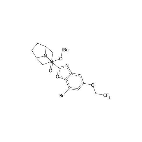 CC(C)(C)OC(=O)N1C2CCC1CN(c1nc3cc(OCC(F)(F)F)cc(Br)c3o1)C2